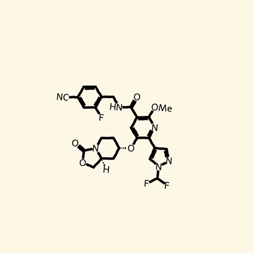 COc1nc(-c2cnn(C(F)F)c2)c(O[C@H]2CCN3C(=O)OC[C@@H]3C2)cc1C(=O)NCc1ccc(C#N)cc1F